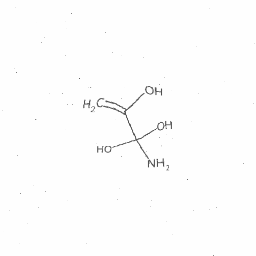 C=C(O)C(N)(O)O